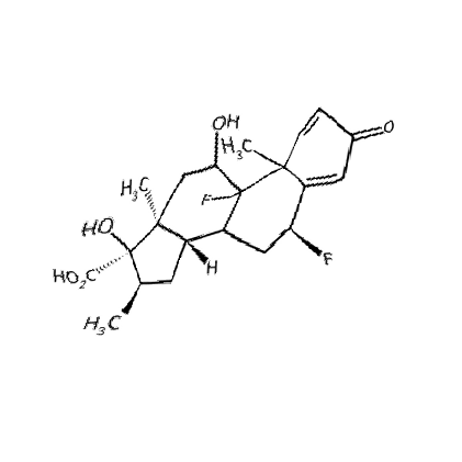 C[C@@H]1C[C@H]2C3C[C@H](F)C4=CC(=O)C=CC4(C)C3(F)C(O)C[C@]2(C)[C@@]1(O)C(=O)O